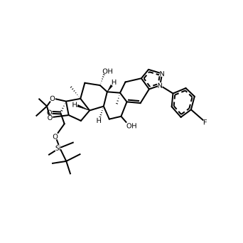 CC1(C)OC2C[C@H]3[C@@H]4CC(O)C5=Cc6c(cnn6-c6ccc(F)cc6)C[C@]5(C)[C@H]4[C@@H](O)C[C@]3(C)[C@]2(C(=O)CO[Si](C)(C)C(C)(C)C)O1